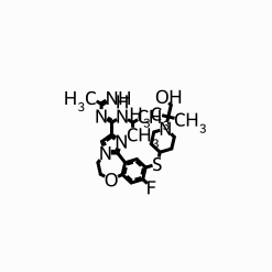 CC(=N)/N=C(\NC(C)C)c1cn2c(n1)-c1cc(SC3CCN(C(C)(C)CO)CC3)c(F)cc1OCC2